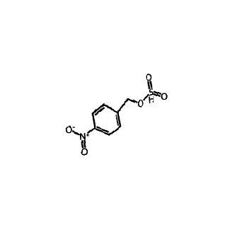 O=[N+]([O-])c1ccc(CO[SH](=O)=O)cc1